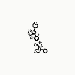 Nc1ncnn2c(C3CCOCC3)cc(-c3ccc(NC(=O)c4c5n(n(-c6ccccc6)c4=O)CCOC5)cc3F)c12